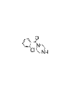 O=C(c1ccccc1Cl)N1CCNCC1